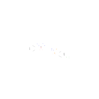 O=C(Nc1cccc(F)c1)NC1CCN(S(=O)(=O)c2ccc(Cl)cc2)CC1